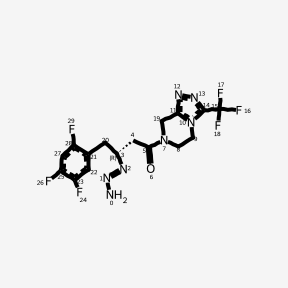 NN=N[C@@H](CC(=O)N1CCn2c(nnc2C(F)(F)F)C1)Cc1cc(F)c(F)cc1F